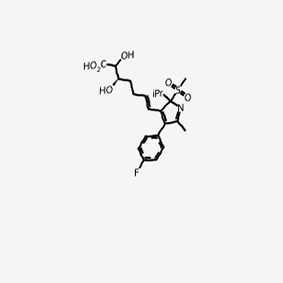 CC1=NC(C(C)C)(S(C)(=O)=O)C(C=CCC[C@@H](O)C(O)C(=O)O)=C1c1ccc(F)cc1